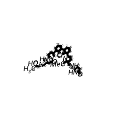 COc1nc(-c2cccc(-c3cccc(-c4ccc5nc(CNC[C@H](C)O)cc(=O)n5c4)c3Cl)c2Cl)ccc1CNC[C@@H]1CCC(=O)N1